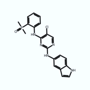 CP(C)(=O)c1ccccc1Nc1nc(Nc2ccc3[nH]ccc3c2)ncc1Cl